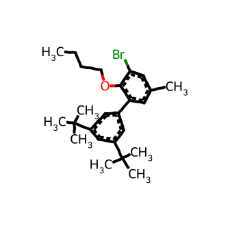 CCCCOc1c(Br)cc(C)cc1-c1cc(C(C)(C)C)cc(C(C)(C)C)c1